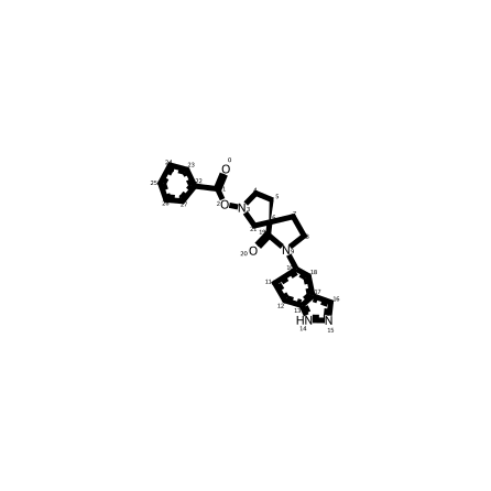 O=C(ON1CC[C@]2(CCN(c3ccc4[nH]ncc4c3)C2=O)C1)c1ccccc1